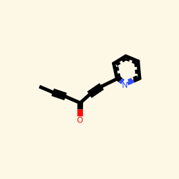 CC#CC(=O)C#Cc1ccccn1